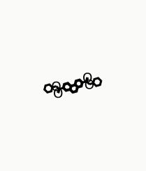 O=C(OC1CCCCC1)c1ccc2c(ccc3cc(C(=O)OC4CCCCC4)ccc32)c1